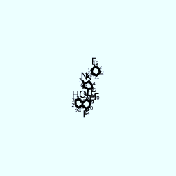 OC(c1ccc2c(cnn2-c2cccc(F)c2)c1)(c1ccc(F)c2ccccc12)C(F)(F)F